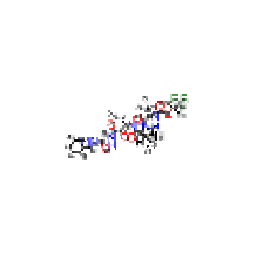 CCCC(NC(=O)[C@@H]1[C@@H]2[C@H](CN1C(=O)[C@@H](NC(=O)OC(C)(C)C(F)(F)F)C(C)(C)C)C2(C)C)C(=O)C(=O)NCC(=O)NCc1ccccc1